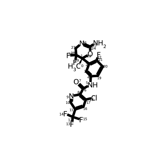 C[C@]1(c2cc(NC(=O)c3ncc(C(F)(F)F)cc3Cl)ccc2F)OC(N)=NCC1(F)F